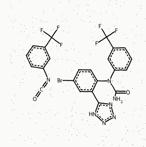 NC(=O)N(c1cccc(C(F)(F)F)c1)c1ccc(Br)cc1-c1nnn[nH]1.O=C=Nc1cccc(C(F)(F)F)c1